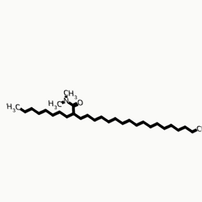 CCCCCCCCCCCCCCCCCCC(CCCCCCCC)C(=O)N(C)C